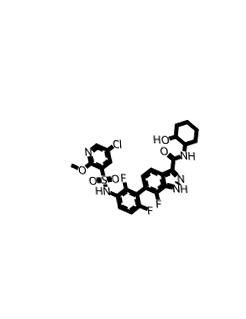 COc1ncc(Cl)cc1S(=O)(=O)Nc1ccc(F)c(-c2ccc3c(C(=O)NC4CCCCC4O)n[nH]c3c2F)c1F